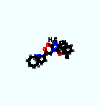 CN1C(=O)N(CC(=O)C2CCC3(CCCCCC3)N2)C(=O)C1(C)C1C[C@H]2CC[C@@H]1C2